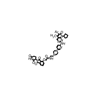 CC(=O)c1c(C)c2cnc(Nc3ccc(N4CCN(CCNC(=O)COc5cccc6c5C(=O)N(C5CCC(=O)NC5=O)C6=O)CC4)cn3)nc2n(C2CCCC2)c1=O